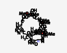 COC1C2OCC3OC4OCC5O[C@H](OC)C(NC(=O)/C=C/c6cn(c(=O)[nH]c6=O)CC(C)C(CCn6cc(c7c(N)ncnc76)C#CCCC(=O)O[C@H]1[C@H](OC)C(CO)O2)Cn1cc(c(=O)[nH]c1=O)C#CCCC(=O)O[C@H](C4OC)[C@@H]3OC)[C@@H](OC)[C@@H]5OC